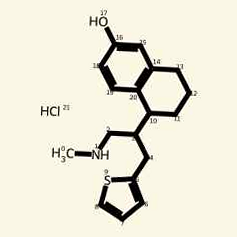 CNCC(Cc1cccs1)C1CCCc2cc(O)ccc21.Cl